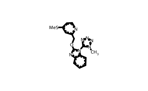 CSc1ccnc(COc2nc3ccccc3n2-c2nnnn2C)c1